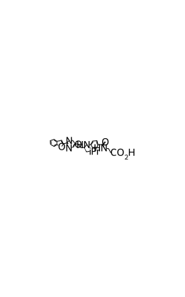 CC(C)C[C@@H](COc1cnc(-c2cc3ccccc3o2)nc1)Nc1ccc(C(=O)NCCC(=O)O)cc1